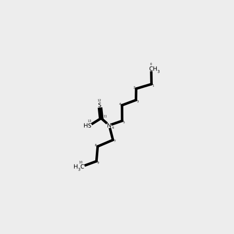 CCCCCCN(CCCC)C(=S)S